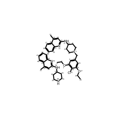 CCOc1cc(CN2CCC(Nc3cc(C)c4ccccc4n3)CC2)cc(OCC)c1Cl.Cc1cc(NC2CCNCC2)nc2ccccc12